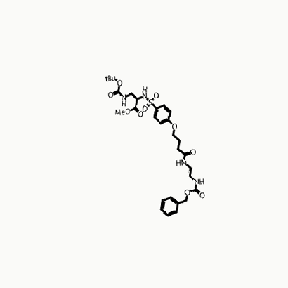 COC(=O)C(CNC(=O)OC(C)(C)C)NS(=O)(=O)c1ccc(OCCCC(=O)NCCNC(=O)OCc2ccccc2)cc1